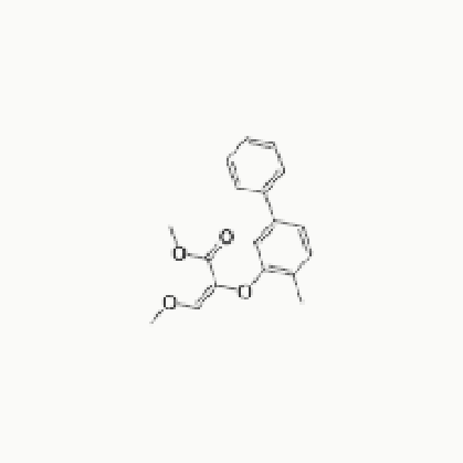 CO/C=C(/Oc1cc(-c2ccccc2)ccc1C)C(=O)OC